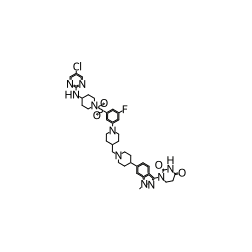 Cn1nc(N2CCC(=O)NC2=O)c2ccc(C3CCN(CC4CCN(c5cc(F)cc(S(=O)(=O)N6CCC(Nc7ncc(Cl)cn7)CC6)c5)CC4)CC3)cc21